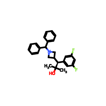 CC(C)(O)[C@H](c1cc(F)cc(F)c1)C1CN(C(c2ccccc2)c2ccccc2)C1